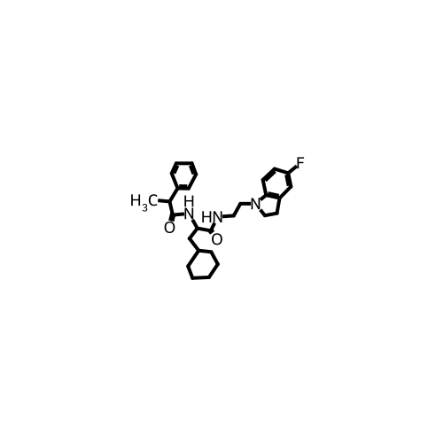 CC(C(=O)NC(CC1CCCCC1)C(=O)NCCN1CCc2cc(F)ccc21)c1ccccc1